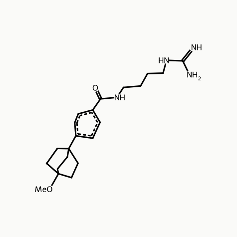 COC12CCC(c3ccc(C(=O)NCCCCNC(=N)N)cc3)(CC1)CC2